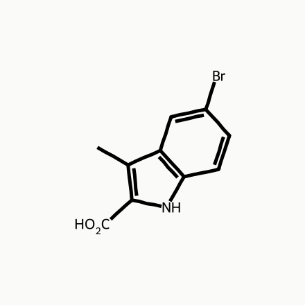 Cc1c(C(=O)O)[nH]c2ccc(Br)cc12